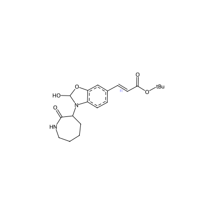 CC(C)(C)OC(=O)/C=C/c1ccc2c(c1)OC(O)N2C1CCCCNC1=O